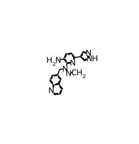 C=NN(Cc1ccc2ncccc2c1)c1nc(-c2cn[nH]c2)ccc1N